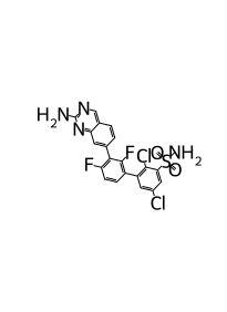 Nc1ncc2ccc(-c3c(F)ccc(-c4cc(Cl)cc(S(N)(=O)=O)c4Cl)c3F)cc2n1